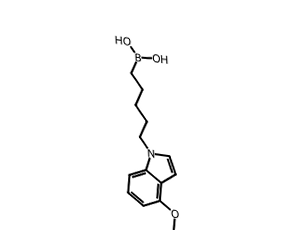 COc1cccc2c1ccn2CCCCCB(O)O